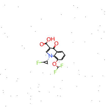 O=C(O)c1cn([C@@H]2C[C@H]2F)c2c(OC(F)F)cccc2c1=O